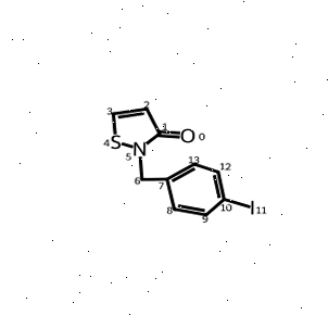 O=c1ccsn1Cc1ccc(I)cc1